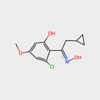 COc1cc(O)c(/C(CC2CC2)=N/O)c(Cl)c1